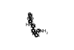 NC1CCN(c2c3c(nc4ccc(-c5ccnc(Nc6ccc(S(=O)(=O)N7CCOCC7)cc6)c5)cc24)CCCC3)C1